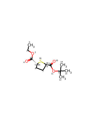 CCOC(=O)[C@H]1CC[C@H](C(=O)OC(C)(C)C)S1